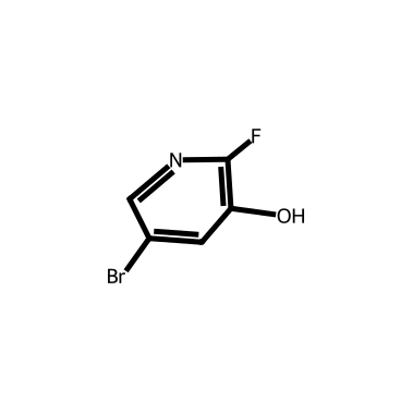 Oc1cc(Br)cnc1F